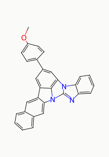 COc1ccc(-c2cc3c4cc5ccccc5cc4n4c3c(c2)n2c3ccccc3nc24)cc1